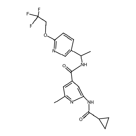 Cc1cc(C(=O)NC(C)c2ccc(OCC(F)(F)F)nc2)cc(NC(=O)C2CC2)n1